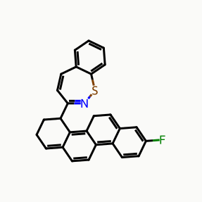 Fc1ccc2c(c1)=CCc1c3c(ccc1=2)=CCCC3C1=NSc2ccccc2C=C1